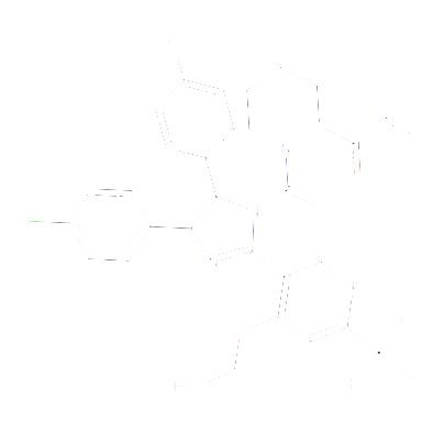 CCOc1cc(C(F)(F)F)ccc1C1=NC(c2ccc(Cl)cc2)C(c2ccc(Cl)cc2)N1C(=O)N1CC[CH]CC1C(N)=O